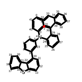 c1ccc(N(c2cccc(-c3cccc4sc5ccccc5c34)c2)c2ccccc2-c2cccc3ccccc23)cc1